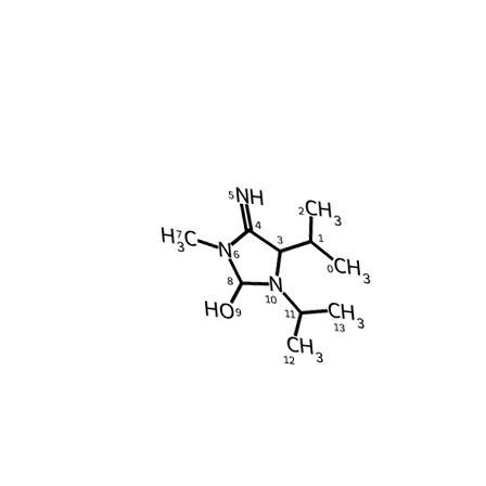 CC(C)C1C(=N)N(C)C(O)N1C(C)C